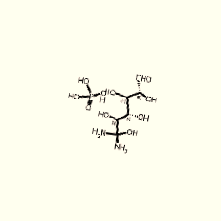 NC(N)(O)[C@@H](O)[C@@H](O)[C@@H](O)[C@@H](O)C=O.O=P(O)(O)O